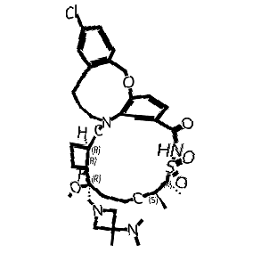 CO[C@]1(CN2CC(C)(N(C)C)C2)CCC[C@H](C)[C@@H](C)S(=O)(=O)NC(=O)c2ccc3c(c2)N(CCCCc2cc(Cl)ccc2CO3)C[C@@H]2CC[C@H]21